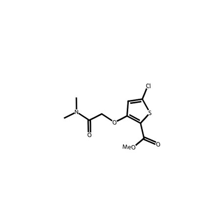 COC(=O)c1sc(Cl)cc1OCC(=O)N(C)C